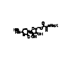 CCCCCCCNC(=O)OC[C@H]1O[C@@H](n2ccc(NO)nc2=O)[C@H](O)[C@@H]1O